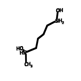 C[SiH](O)CCCC[SiH2]O